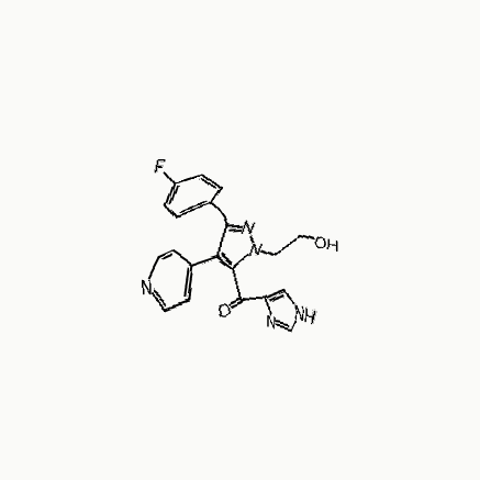 O=C(c1c[nH]cn1)c1c(-c2ccncc2)c(-c2ccc(F)cc2)nn1CCO